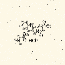 CCC(=O)c1cc2n(c(=O)c1)Cc1c-2nc2ccccc2c1COC(=O)CN(C)C.Cl